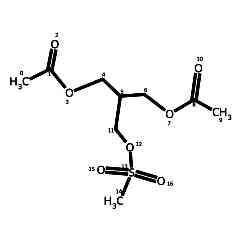 CC(=O)OCC(COC(C)=O)COS(C)(=O)=O